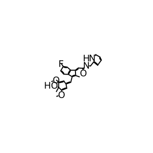 COC1=CC(=CC2=C(C)/C(=C\C(=O)NCc3ccccn3)c3cc(F)ccc32)C=C(OC)C1(C)O